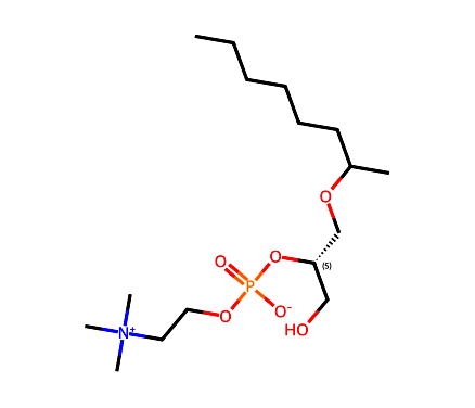 CCCCCCC(C)OC[C@H](CO)OP(=O)([O-])OCC[N+](C)(C)C